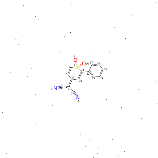 N#CC(C#N)=C1C=CS(=O)(=O)C(c2ccccc2)=C1